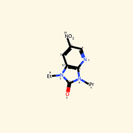 CCn1c(=O)n(C(C)C)c2ncc([N+](=O)[O-])cc21